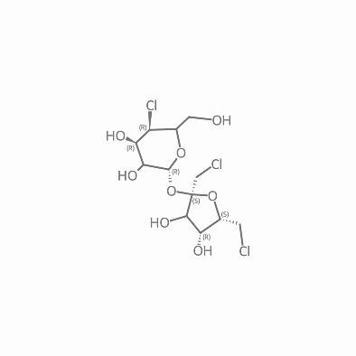 OCC1O[C@H](O[C@@]2(CCl)O[C@H](CCl)[C@H](O)C2O)C(O)[C@@H](O)[C@H]1Cl